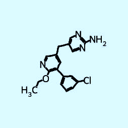 CCOc1ncc(Cc2cnc(N)nc2)cc1-c1cccc(Cl)c1